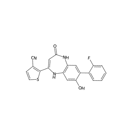 N#Cc1ccsc1C1=CC(=O)Nc2cc(-c3ccccc3F)c(O)cc2N1